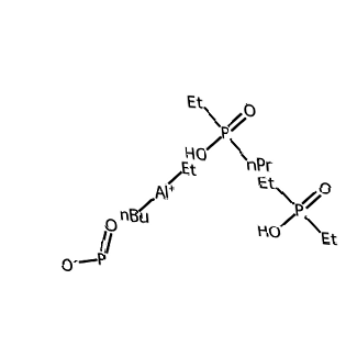 CCCP(=O)(O)CC.CCC[CH2][Al+][CH2]C.CCP(=O)(O)CC.O=P[O-]